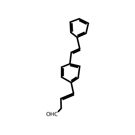 O=CCC=Cc1ccc(C=Cc2ccccc2)cc1